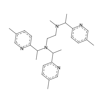 Cc1ccc(C(C)N(C)CCN(C(C)c2ccc(C)cn2)C(C)c2ccc(C)cn2)nc1